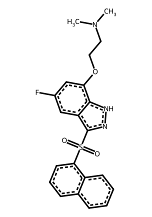 CN(C)CCOc1cc(F)cc2c(S(=O)(=O)c3cccc4ccccc34)n[nH]c12